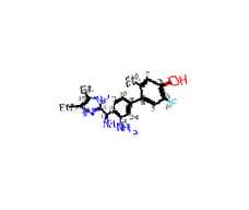 CCc1cc(O)c(F)cc1-c1ccc(C(=N)c2nc(CC)c(CC)[nH]2)c(N)c1